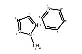 Cn1ncnn1.c1ccncc1